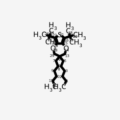 CCCCCCC1(CCCCCC)COc2c(C(C)(C)C)sc(C(C)(C)C)c2OC1